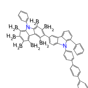 Bc1c(B)c(B)c2c(c1B)c1c(B)c(-c3ccc4c(c3)c3cccc(-c5ccccc5)c3n4-c3ccc(-c4ccc(-c5ccccc5)cc4)cc3)c(B)c(B)c1n2-c1ccccc1